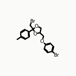 Cc1ccc(C2(CBr)OCC(COc3ccc(Br)cc3)O2)cc1